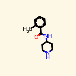 Bc1ccccc1C(=O)NC1CCNCC1